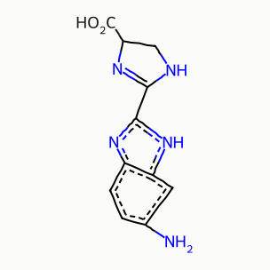 Nc1ccc2nc(C3=NC(C(=O)O)CN3)[nH]c2c1